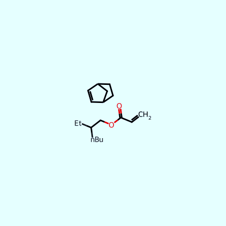 C1=CC2CCC1C2.C=CC(=O)OCC(CC)CCCC